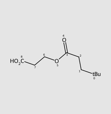 CC(C)(C)CCC(=O)OCCC(=O)O